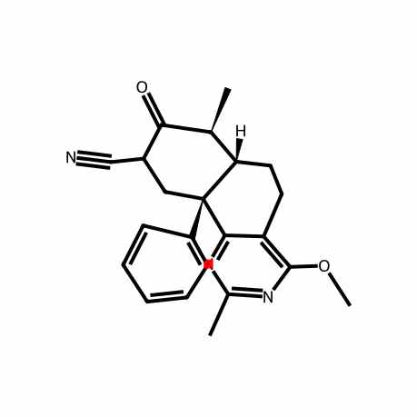 COc1nc(C)nc2c1CC[C@H]1[C@H](C)C(=O)C(C#N)C[C@@]21c1ccccc1